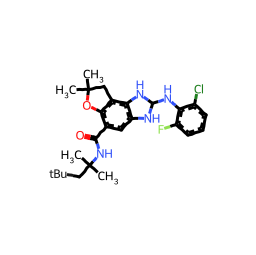 CC(C)(C)CC(C)(C)NC(=O)c1cc2c(c3c1OC(C)(C)C3)NC(Nc1c(F)cccc1Cl)N2